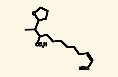 CCCCCCCC/C=C\CCCCCCC(C(=O)O)C(C)C1CCCO1